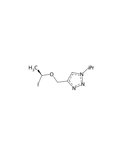 CC(C)n1cc(CO[C@H](C)I)nn1